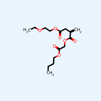 C=C(CC(=O)OCCOCC)C(=O)OCC(=O)OCCCC